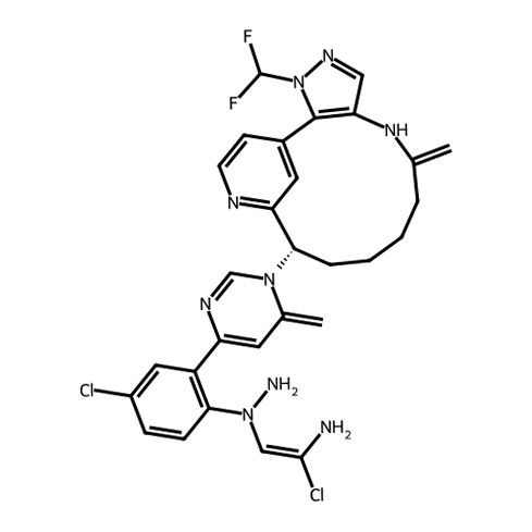 C=C1CCCC[C@H](N2C=NC(c3cc(Cl)ccc3N(N)/C=C(\N)Cl)=CC2=C)c2cc(ccn2)-c2c(cnn2C(F)F)N1